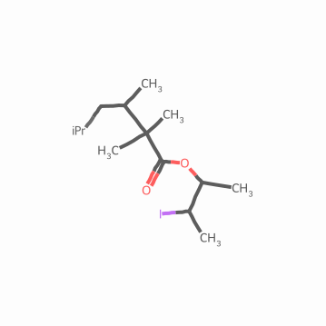 CC(C)CC(C)C(C)(C)C(=O)OC(C)C(C)I